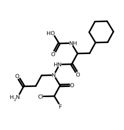 NC(=O)CCN(NC(=O)C(CC1CCCCC1)NC(=O)O)C(=O)C(F)Cl